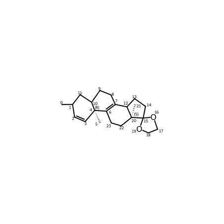 CC1C=C[C@]2(C)C3=C(CCC2C1)C1CCC2(OCCO2)[C@@]1(C)CC3